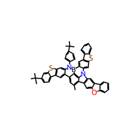 Cc1cc2c3c4c1c1cc5oc6ccccc6c5cc1n4-c1cc4sc5ccccc5c4cc1B3N(c1ccc(C(C)(C)C)cc1)c1cc3sc4cc(C(C)(C)C)ccc4c3cc1-2